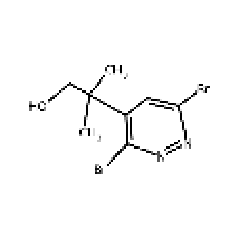 CC(C)(CO)c1cc(Br)nnc1Br